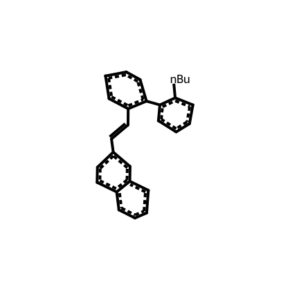 CCCCc1ccccc1-c1ccccc1C=Cc1ccc2ccccc2c1